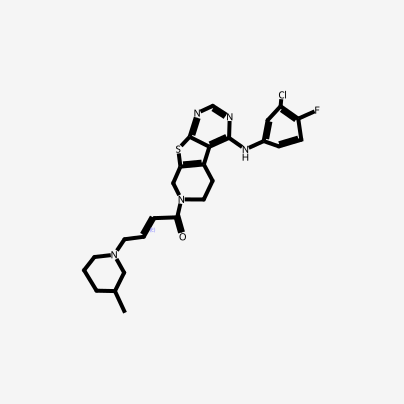 CC1CCCN(C/C=C/C(=O)N2CCc3c(sc4ncnc(Nc5ccc(F)c(Cl)c5)c34)C2)C1